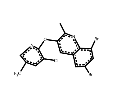 Cc1nc2c(Br)cc(Br)cc2cc1Oc1ncc(C(F)(F)F)cc1Cl